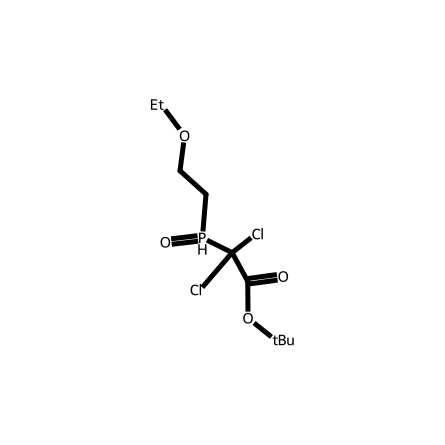 CCOCC[PH](=O)C(Cl)(Cl)C(=O)OC(C)(C)C